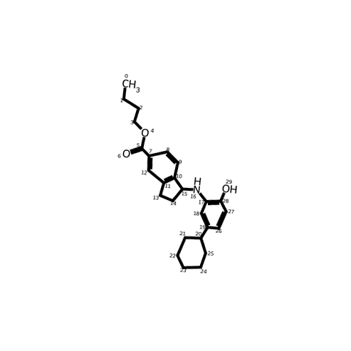 CCCCOC(=O)c1ccc2c(c1)CCC2Nc1cc(C2CCCCC2)ccc1O